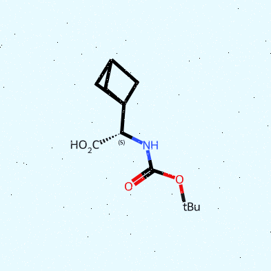 CC(C)(C)OC(=O)N[C@H](C(=O)O)C12CC(C1)C2